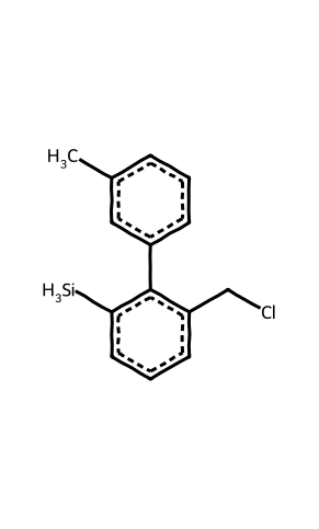 Cc1cccc(-c2c([SiH3])cccc2CCl)c1